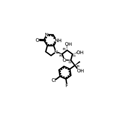 C[C@@](O)(c1ccc(Cl)c(F)c1)[C@H]1O[C@@H](N2CCc3c2[nH]cnc3=O)[C@H](O)[C@@H]1O